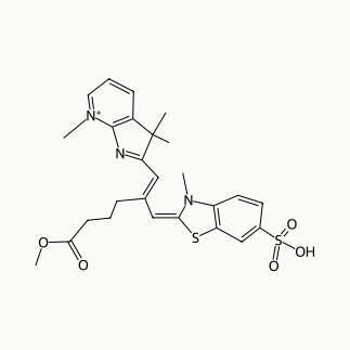 COC(=O)CCCC(=C\C1=Nc2c(ccc[n+]2C)C1(C)C)/C=C1/Sc2cc(S(=O)(=O)O)ccc2N1C